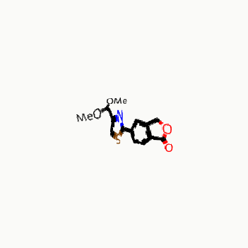 COC(OC)c1csc(-c2ccc3c(c2)COC3=O)n1